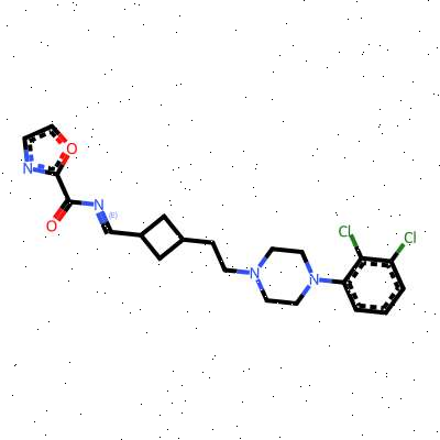 O=C(/N=C/C1CC(CCN2CCN(c3cccc(Cl)c3Cl)CC2)C1)c1ncco1